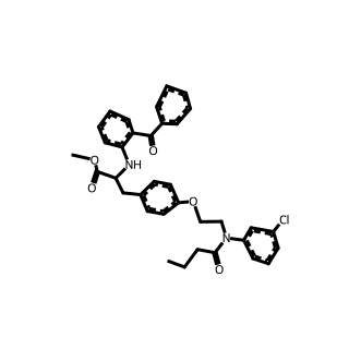 CCCC(=O)N(CCOc1ccc(CC(Nc2ccccc2C(=O)c2ccccc2)C(=O)OC)cc1)c1cccc(Cl)c1